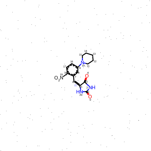 O=C1NC(=O)/C(=C\c2cc(N3CCCCC3)ccc2[N+](=O)[O-])N1